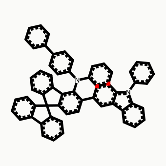 c1ccc(-c2ccc(N(c3ccccc3)c3c(-c4ccc5c(c4)c4ccccc4n5-c4ccccc4)ccc4c3-c3ccccc3C43c4ccccc4-c4ccccc43)cc2)cc1